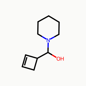 OC(C1C=CC1)N1CCCCC1